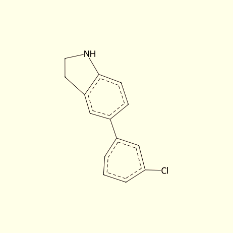 Clc1cccc(-c2ccc3c(c2)CCN3)c1